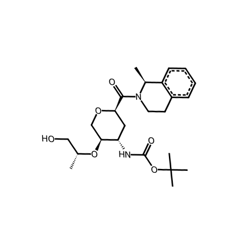 C[C@H](CO)O[C@H]1CO[C@@H](C(=O)N2CCc3ccccc3[C@@H]2C)C[C@@H]1NC(=O)OC(C)(C)C